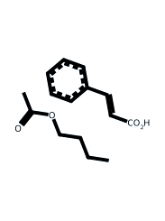 CCCCOC(C)=O.O=C(O)C=Cc1ccccc1